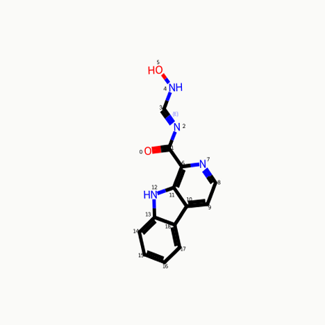 O=C(/N=C/NO)c1nccc2c1[nH]c1ccccc12